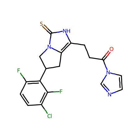 O=C(CCc1[nH]c(=S)n2c1CC(c1c(F)ccc(Cl)c1F)C2)n1ccnc1